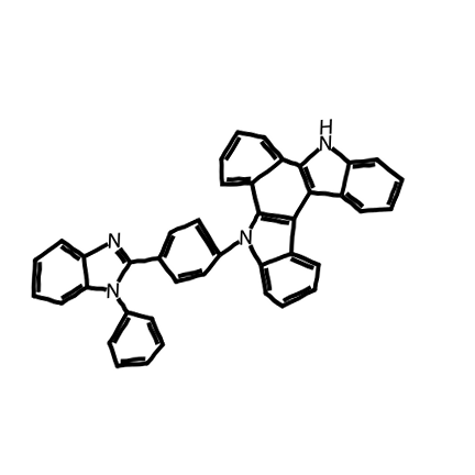 c1ccc(-n2c(-c3ccc(-n4c5ccccc5c5c6c7ccccc7[nH]c6c6ccccc6c54)cc3)nc3ccccc32)cc1